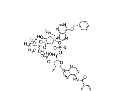 CC(C)(C)[Si](C)(C)O[C@H]1[C@@H](OP(=S)(OCCC#N)OC[C@H]2O[C@@H](n3cnc4c(NC(=O)c5ccccc5)ncnc43)[C@H](F)[C@@H]2O[PH](=O)O)[C@H](n2cnc3c(OCc4ccccc4)ncnc32)C[C@@H]1O